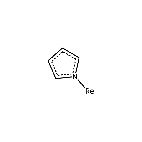 [Re][n]1cccc1